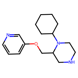 c1cncc(OCC2CNCCN2C2CCCCC2)c1